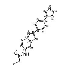 CCC(=O)Nc1ccc2nc(-c3ccc(-c4cnco4)cc3)cn2c1